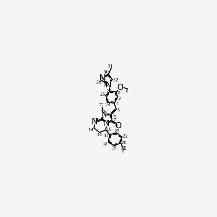 COc1cc(/C=c2/c(=O)n3c(n2C)=NCCC3c2ccc(F)cc2)ccc1-n1cnc(C)c1